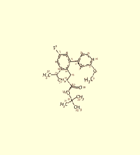 COc1cc(-c2cc(F)cc(C(C)C)c2CCC(=O)OC(C)(C)C)ccn1